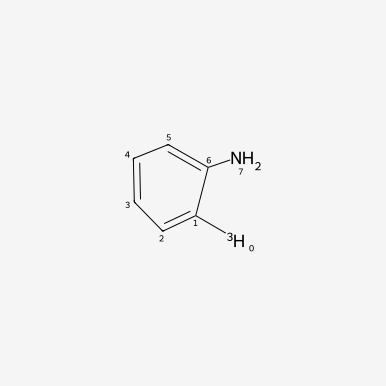 [3H]c1ccccc1N